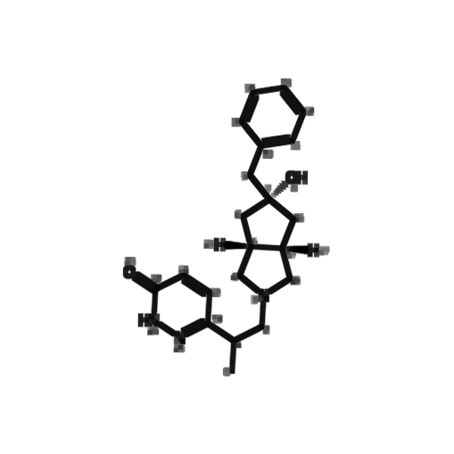 CC(CN1C[C@@H]2C[C@@](O)(Cc3ccccc3)C[C@@H]2C1)c1ccc(=O)[nH]n1